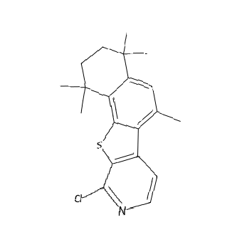 Cc1cc2c(c3sc4c(Cl)nccc4c13)C(C)(C)CCC2(C)C